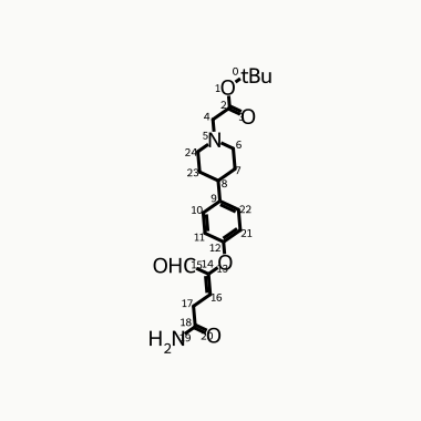 CC(C)(C)OC(=O)CN1CCC(c2ccc(O/C(C=O)=C/CC(N)=O)cc2)CC1